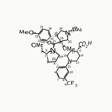 COC[C@@H]1C[C@@H](c2ccc(C(F)(F)F)cc2N2CCC(C(=O)O)CC2)CN1C(=O)[C@]1(OC)CN(C(C)(C)C)C[C@H]1c1ccc(OC)cc1